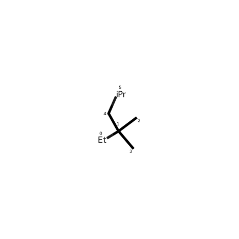 [CH2]CC(C)(C)CC(C)C